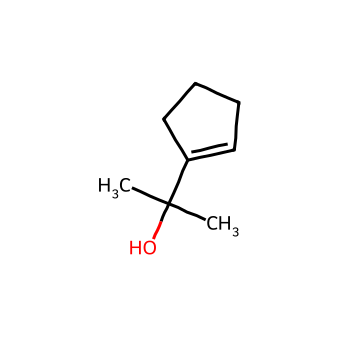 CC(C)(O)C1=CCCC1